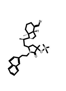 C[C@H](CC1CC(C)(O[Si](C)(C)C)C(=O)N1CCc1ccc2ccccc2c1)[C@H]1CC[C@H]2/C(=C/Br)CCC[C@]12C